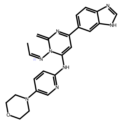 C=C1N=C(c2ccc3nc[nH]c3c2)C=C(Nc2ccc(N3CCOCC3)cn2)N1/N=C\C